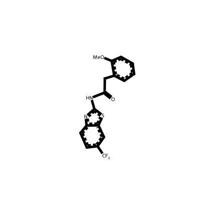 COc1ccccc1CC(=O)Nc1nc2ccc(C(F)(F)F)cc2s1